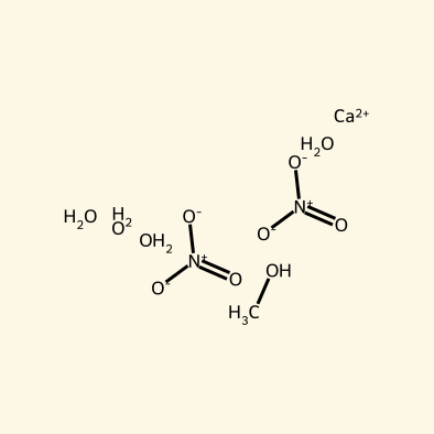 CO.O.O.O.O.O=[N+]([O-])[O-].O=[N+]([O-])[O-].[Ca+2]